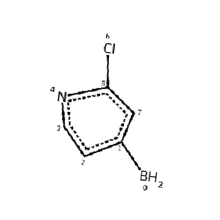 Bc1ccnc(Cl)c1